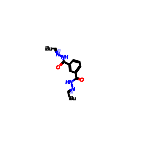 CCC(C)/C=N/NC(=O)c1cccc(C(=O)N/N=C/C(C)CC)c1